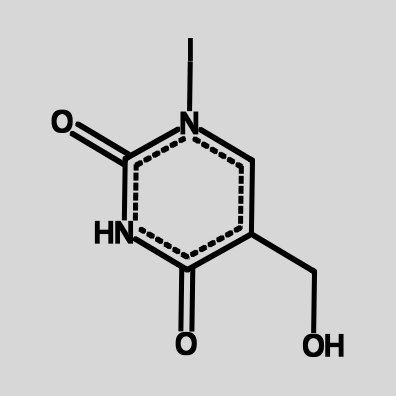 O=c1[nH]c(=O)n(I)cc1CO